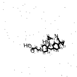 N#CC1(c2ccc(CC3(CNC4CC4)CCN(CCC(=O)O)CC3)cc2)CC1